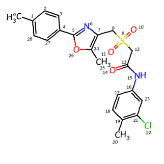 Cc1ccc(-c2nc(CS(=O)(=O)CC(=O)Nc3ccc(C)c(Cl)c3)c(C)o2)cc1